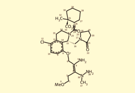 COCC/C(=C(/N)COc1ccc(Cl)c2c1[C@@H](CN1CCCC1=O)N(C(=O)[C@@H]1CCCC[C@]1(C)C(=O)O)CC2)N(C)N